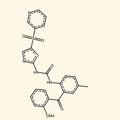 COc1ccccc1C(=O)c1cc(C)ccc1NC(=O)Nc1ncc(S(=O)(=O)c2cccnc2)s1